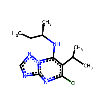 CC[C@@H](C)Nc1c(C(C)C)c(Cl)nc2ncnn12